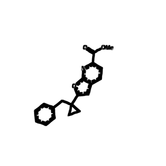 COC(=O)c1ccc2cc(C3(Cc4ccccc4)CC3)oc2n1